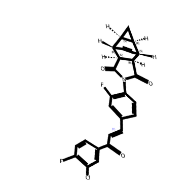 O=C(/C=C/c1ccc(N2C(=O)[C@@H]3[C@@H]4C=C[C@@H]([C@H]5C[C@@H]45)[C@@H]3C2=O)c(F)c1)c1ccc(F)c(Cl)c1